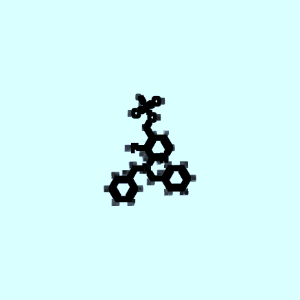 CS(=O)(=O)OCc1ccnc(N(Cc2ccccc2)Cc2ccccc2)c1F